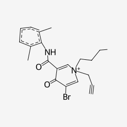 C#CC[N+]1(CCCC)C=C(Br)C(=O)C(C(=O)Nc2c(C)cccc2C)=C1